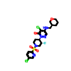 O=c1c(Cl)c(NC[C@@H]2CCCOC2)cnn1[C@H]1CCN(S(=O)(=O)c2ccc(Cl)cn2)C[C@H]1F